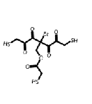 CCC(COC(=O)CS)(C(=O)C(=O)CS)C(=O)C(=O)CS